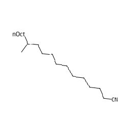 CCCCCCCCC(C)CCCCCCCCCCC#N